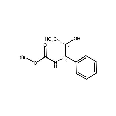 CC(C)(C)OC(=O)N[C@@H](c1ccccc1)[C@@H](O)C(=O)O